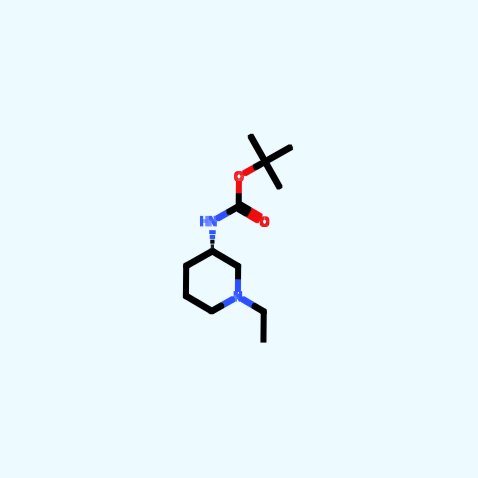 CCN1CCC[C@H](NC(=O)OC(C)(C)C)C1